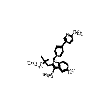 CCOC(=O)C(C)(C)Cc1c(SC(C)(C)C)c2cc(O)ccc2n1Cc1ccc(-c2ccc(OCC)nc2)cc1